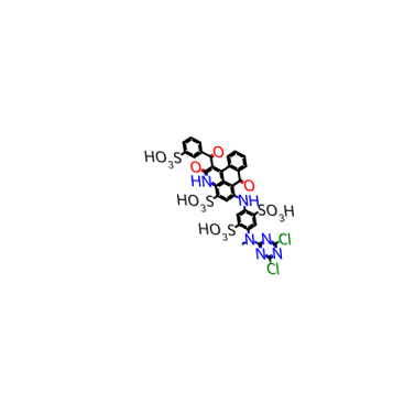 CN(c1nc(Cl)nc(Cl)n1)c1cc(S(=O)(=O)O)c(Nc2cc(S(=O)(=O)O)c3[nH]c(=O)c(C(=O)c4cccc(S(=O)(=O)O)c4)c4c3c2C(=O)c2ccccc2-4)cc1S(=O)(=O)O